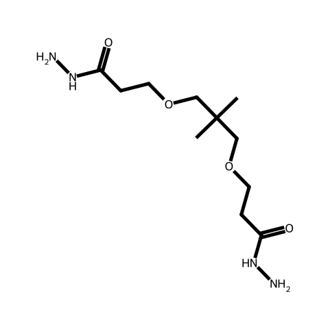 CC(C)(COCCC(=O)NN)COCCC(=O)NN